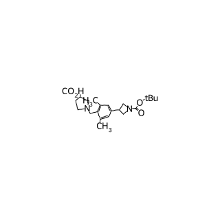 Cc1cc(C2CN(C(=O)OC(C)(C)C)C2)cc(C)c1CN1CCC(C(=O)O)C1